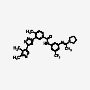 C/C(=N\c1cc(NC(=O)c2ccc(C)c(-n3cc(-c4cnn(C)c4C)nn3)c2)cc(C(F)(F)F)c1)N1CCCC1